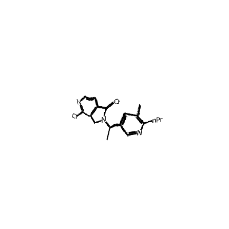 CCCc1ncc(C(C)N2Cc3c(ccnc3Cl)C2=O)cc1C